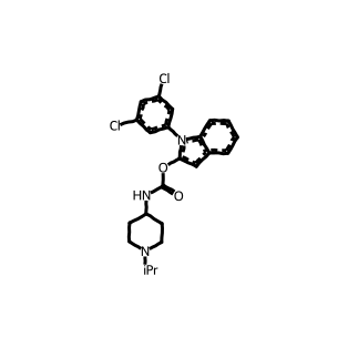 CC(C)N1CCC(NC(=O)Oc2cc3ccccc3n2-c2cc(Cl)cc(Cl)c2)CC1